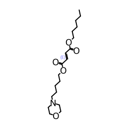 CCCCCCOC(=O)/C=C/C(=O)OCCCCCN1CCOCC1